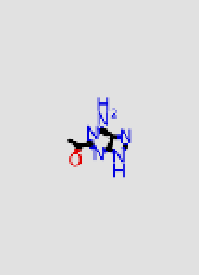 CC(=O)c1nc(N)c2nc[nH]c2n1